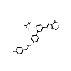 CC(C)c1ccc(CC(=O)Nc2ccc(-c3cc(-c4cc5c([nH]4)CCNC5=O)ccn3)cc2)cc1.O=C(O)C(F)(F)F